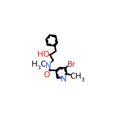 Cc1ncc(C(=O)N(C)C[C@@H](O)Cc2ccccc2)cc1Br